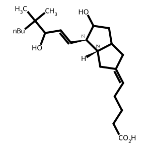 CCCCC(C)(C)C(O)C=C[C@H]1C(O)CC2CC(=CCCCC(=O)O)C[C@@H]21